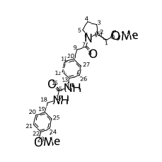 COC[C@@H]1CCCN1C(=O)Cc1ccc(NC(=O)NCc2ccc(OC)cc2)cc1